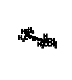 CC(C)(CS)CCOCCCC(=O)NC(C)(C)C